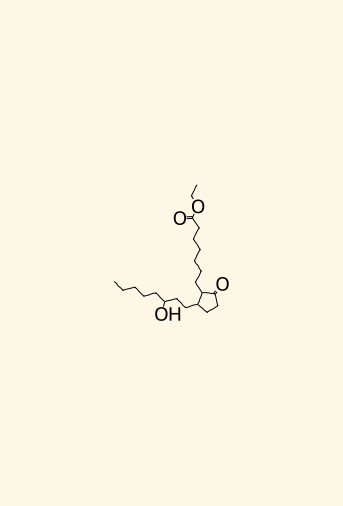 CCCCCC(O)CCC1CCC(=O)C1CCCCCCC(=O)OCC